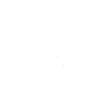 CCOB(OC(C)(C)CC)c1ccc(COC(C)=O)cc1